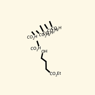 CC(=O)O.CC(=O)O.CC(=O)O.CC(=O)O.CC(=O)O.CC(=O)O.CCOC(=O)CCCO